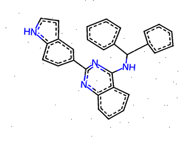 c1ccc(C(Nc2nc(-c3ccc4[nH]ccc4c3)nc3ccccc23)c2ccccc2)cc1